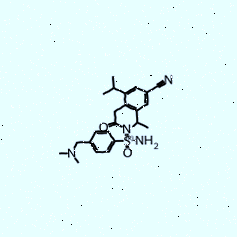 CC(C)c1cc(C#N)cc(C(C)C)c1CC(=O)N=[S@@](N)(=O)c1ccc(CN(C)C)cc1